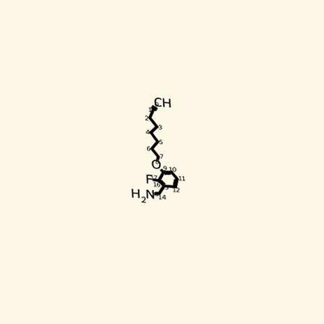 C#CCCCCCCOc1cccc(CN)c1F